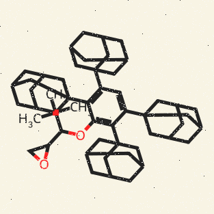 CC(C)(C)C(Oc1c(C23CC4CC(CC(C4)C2)C3)c(C23CC4CC(CC(C4)C2)C3)cc(C23CC4CC(CC(C4)C2)C3)c1C12CC3CC(CC(C3)C1)C2)C1CO1